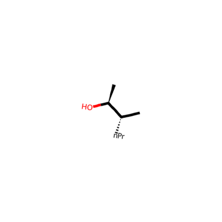 CCC[C@@H](C)[C@H](C)O